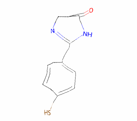 O=C1CN=C(c2ccc(S)cc2)N1